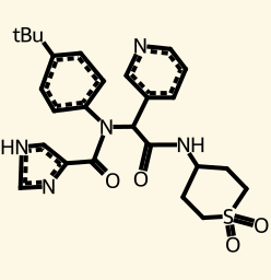 CC(C)(C)c1ccc(N(C(=O)c2c[nH]cn2)C(C(=O)NC2CCS(=O)(=O)CC2)c2cccnc2)cc1